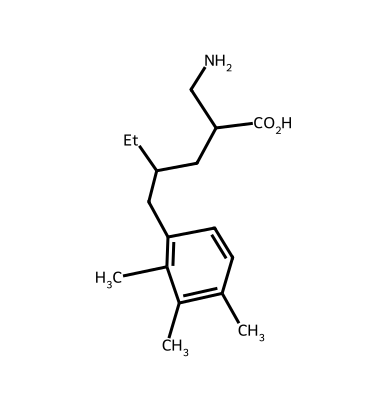 CCC(Cc1ccc(C)c(C)c1C)CC(CN)C(=O)O